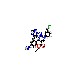 CCOC(=O)C1=C(C)N(c2cccc(CF)c2)c2nc3ncncc3n2C1c1ccc(C#N)cc1